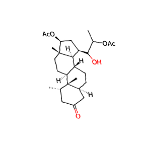 CC(=O)OC(C)C(O)[C@@H]1C[C@H](OC(C)=O)[C@@]2(C)CC[C@H]3[C@@H](CC[C@H]4CC(=O)C[C@H](C)[C@@]43C)[C@H]12